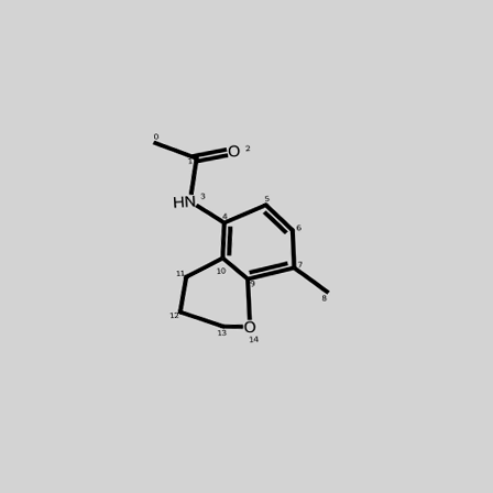 CC(=O)Nc1ccc(C)c2c1CCCO2